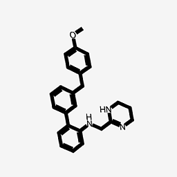 COc1ccc(Cc2cccc(-c3ccccc3NCC3=NCCCN3)c2)cc1